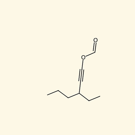 CCCC(C#COC=O)CC